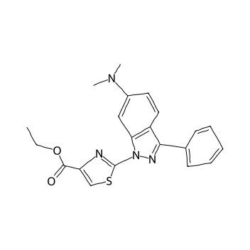 CCOC(=O)c1csc(-n2nc(-c3ccccc3)c3ccc(N(C)C)cc32)n1